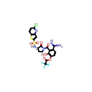 N=C(N)c1ccc(OC(=O)C(F)(F)F)c(O)c1C(=O)N1CC[C@H](NS(=O)(=O)c2cc3nc(Cl)ccc3s2)C1=O